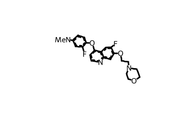 CNc1ccc(Oc2ccnc3cc(OCCN4CCOCC4)c(F)cc23)c(F)c1